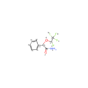 NC(=O)C(OC(F)C(F)(F)F)c1ccccc1